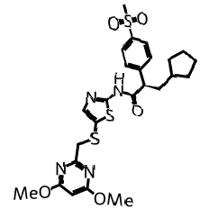 COc1cc(OC)nc(CSc2cnc(NC(=O)[C@H](CC3CCCC3)c3ccc(S(C)(=O)=O)cc3)s2)n1